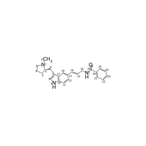 CN1CCC[C@@H]1Cc1c[nH]c2ccc(/C=C/CNC(=O)c3ccccc3)cc12